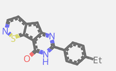 CCc1ccc(-c2nc3cc4ccnsc-4c3c(=O)[nH]2)cc1